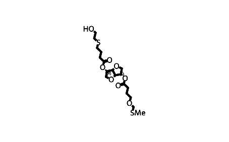 CSCOCCCC(=O)O[C@H]1COC2C1OC[C@H]2OC(=O)CCCSCCO